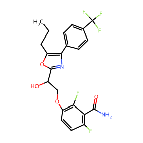 CCCc1oc(C(O)COc2ccc(F)c(C(N)=O)c2F)nc1-c1ccc(C(F)(F)F)cc1